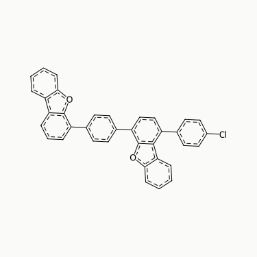 Clc1ccc(-c2ccc(-c3ccc(-c4cccc5c4oc4ccccc45)cc3)c3oc4ccccc4c23)cc1